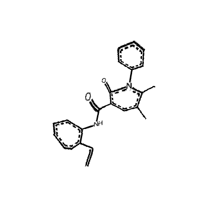 C=Cc1ccccc1NC(=O)c1cc(C)c(C)n(-c2ccccc2)c1=O